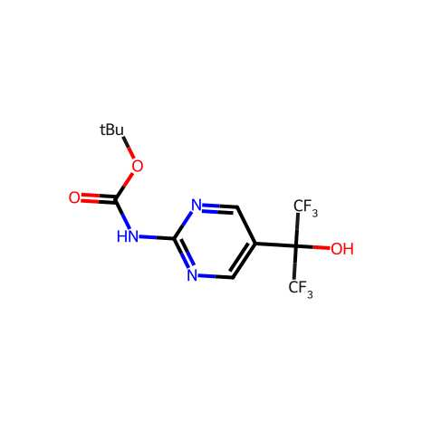 CC(C)(C)OC(=O)Nc1ncc(C(O)(C(F)(F)F)C(F)(F)F)cn1